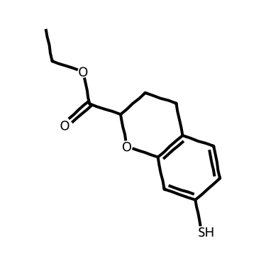 CCOC(=O)C1CCc2ccc(S)cc2O1